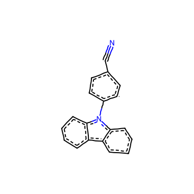 N#Cc1c[c]c(-n2c3ccccc3c3ccccc32)cc1